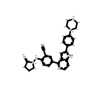 N#Cc1cc(-c2nccc3[nH]c(-c4ccc(N5CCOCC5)cc4)cc23)ccc1ON1CCCC1=O